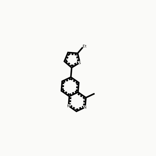 CCc1ccc(-c2ccc3ncnc(C)c3c2)s1